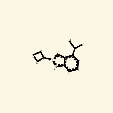 CC(C)c1cccc2nn(C3COC3)cc12